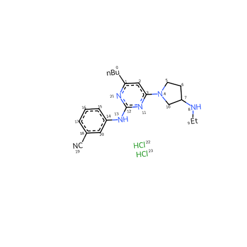 CCCCc1cc(N2CCC(NCC)C2)nc(Nc2cccc(C#N)c2)n1.Cl.Cl